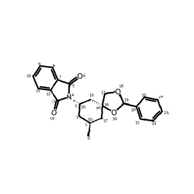 C[C@H]1C[C@H](N2C(=O)c3ccccc3C2=O)C[C@@]2(COC(c3ccccc3)O2)C1